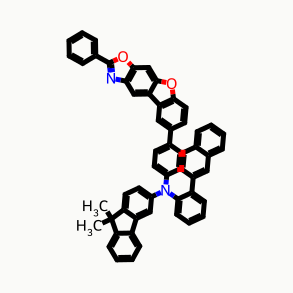 CC1(C)c2ccccc2-c2cc(N(c3ccc(-c4ccc5oc6cc7oc(-c8ccccc8)nc7cc6c5c4)cc3)c3ccccc3-c3ccc4ccccc4c3)ccc21